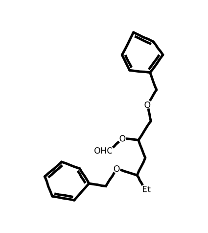 CCC(CC(COCc1ccccc1)OC=O)OCc1ccccc1